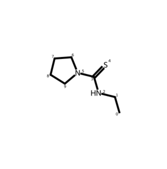 CCNC(=S)N1CCCC1